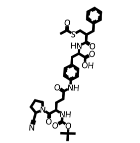 CC(=O)SCC(Cc1ccccc1)C(=O)NC(Cc1ccc(NC(=O)CCC(NC(=O)OC(C)(C)C)C(=O)N2CCCC2C#N)cc1)C(=O)O